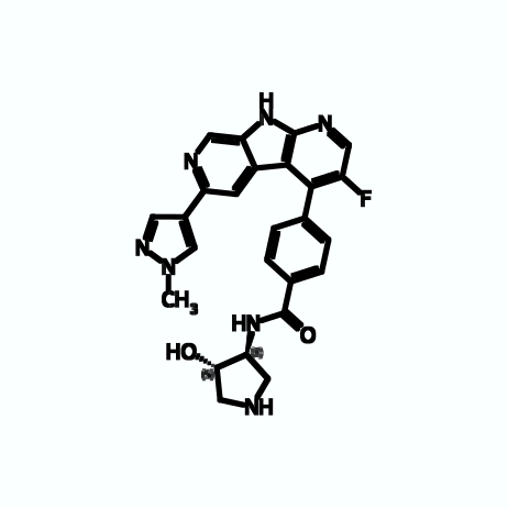 Cn1cc(-c2cc3c(cn2)[nH]c2ncc(F)c(-c4ccc(C(=O)N[C@H]5CNC[C@@H]5O)cc4)c23)cn1